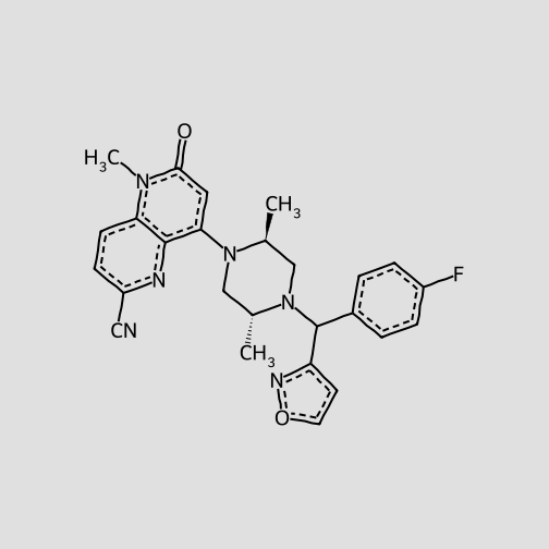 C[C@@H]1CN(c2cc(=O)n(C)c3ccc(C#N)nc23)[C@@H](C)CN1C(c1ccc(F)cc1)c1ccon1